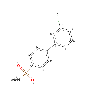 CNS(=O)(=O)c1ccc(-c2cccc(F)c2)cc1